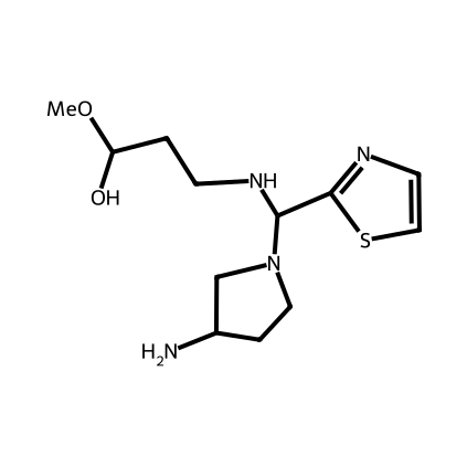 COC(O)CCNC(c1nccs1)N1CCC(N)C1